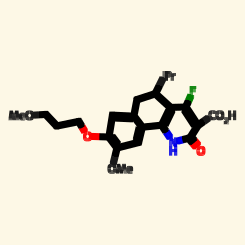 COCCCOc1cc2c(cc1OC)-c1[nH]c(=O)c(C(=O)O)c(F)c1C(C(C)C)C2